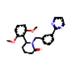 COc1cccc(OC)c1C1CCCC(=O)N1Cc1cccc(-c2ncccn2)c1